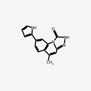 Cc1cc2n[nH]c(=O)n2c2cc(-c3ccc[nH]3)ccc12